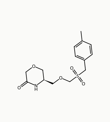 Cc1ccc(CS(=O)(=O)COC[C@@H]2COCC(=O)N2)cc1